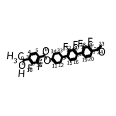 CC(O)c1ccc(C(=O)OC2=CCC(c3ccc(-c4ccc(C5CO5)c(F)c4F)c(F)c3F)CC2)c(F)c1F